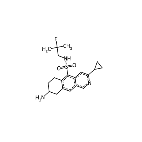 CC(C)(F)CNS(=O)(=O)c1c2c(cc3cnc(C4CC4)cc13)CC(N)CC2